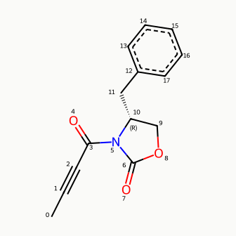 CC#CC(=O)N1C(=O)OC[C@H]1Cc1ccccc1